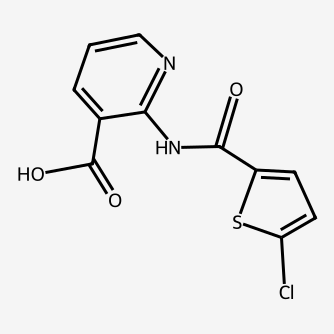 O=C(Nc1ncccc1C(=O)O)c1ccc(Cl)s1